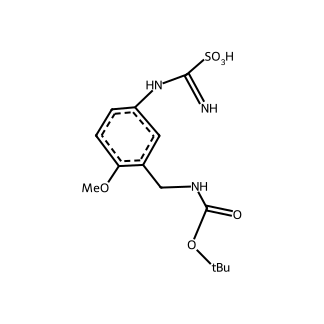 COc1ccc(NC(=N)S(=O)(=O)O)cc1CNC(=O)OC(C)(C)C